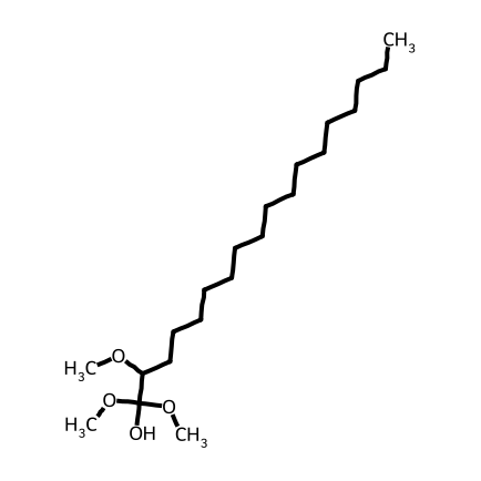 CCCCCCCCCCCCCCCCC(OC)C(O)(OC)OC